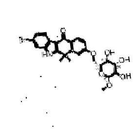 CO[C@H]1O[C@H](COc2ccc3c(c2)C(C)(C)c2[nH]c4cc(Br)ccc4c2C3=O)[C@H](O)[C@H](O)C1O